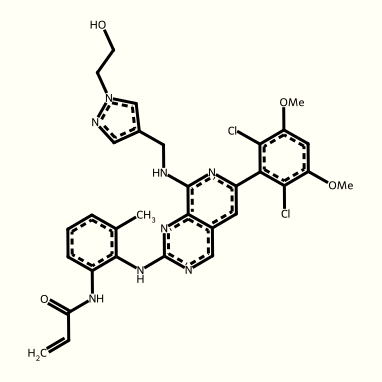 C=CC(=O)Nc1cccc(C)c1Nc1ncc2cc(-c3c(Cl)c(OC)cc(OC)c3Cl)nc(NCc3cnn(CCO)c3)c2n1